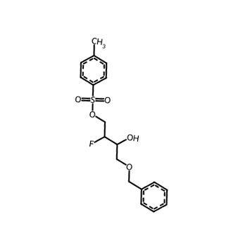 Cc1ccc(S(=O)(=O)OCC(F)C(O)COCc2ccccc2)cc1